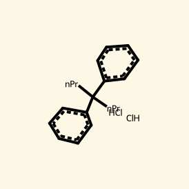 CCCC(CCC)(c1ccccc1)c1ccccc1.Cl.Cl